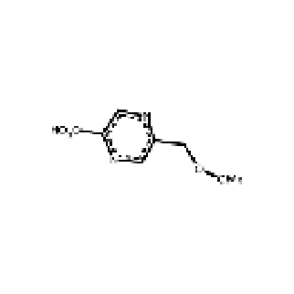 COOCc1cnc(C(=O)O)cn1